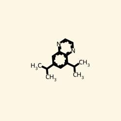 CC(C)c1cc(C(C)C)c2nccnc2c1